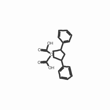 O=C(O)OC(=O)O.c1ccc(C2CCC(c3ccccc3)C2)cc1